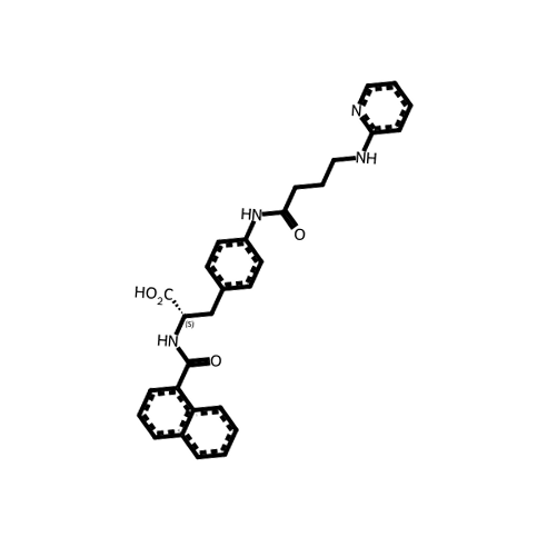 O=C(CCCNc1ccccn1)Nc1ccc(C[C@H](NC(=O)c2cccc3ccccc23)C(=O)O)cc1